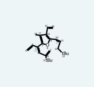 C=C/C(=C/C(=C)C(C)(C)C)c1oc(/C=C\CC(C)(C)C)c(C=C)c1C